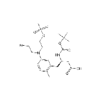 Cc1ccc(N(CCBr)CCOS(C)(=O)=O)cc1C[C@H](CC(=O)O)NC(=O)OC(C)(C)C